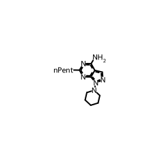 CCCCCc1nc(N)c2cnn(N3CCCCC3)c2n1